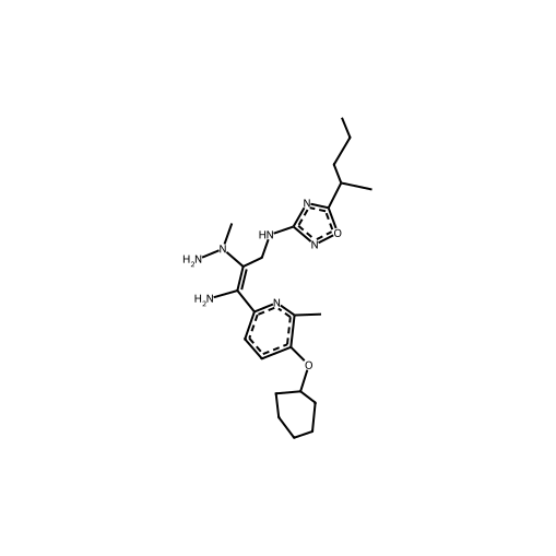 CCCC(C)c1nc(NC/C(=C(/N)c2ccc(OC3CCCCC3)c(C)n2)N(C)N)no1